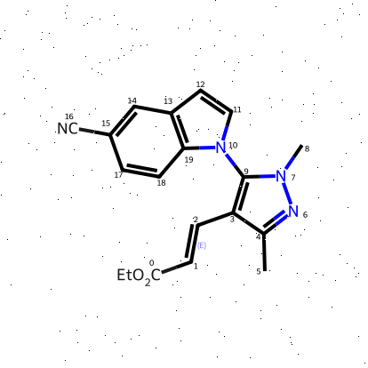 CCOC(=O)/C=C/c1c(C)nn(C)c1-n1ccc2cc(C#N)ccc21